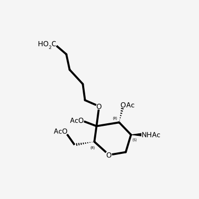 CC(=O)N[C@H]1CO[C@H](COC(C)=O)C(OCCCCC(=O)O)(OC(C)=O)[C@@H]1OC(C)=O